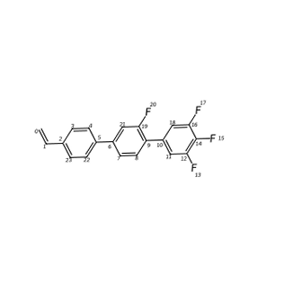 C=Cc1ccc(-c2ccc(-c3cc(F)c(F)c(F)c3)c(F)c2)cc1